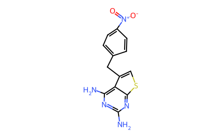 Nc1nc(N)c2c(Cc3ccc([N+](=O)[O-])cc3)csc2n1